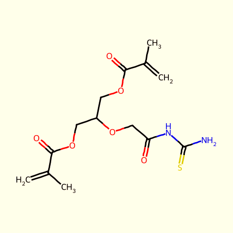 C=C(C)C(=O)OCC(COC(=O)C(=C)C)OCC(=O)NC(N)=S